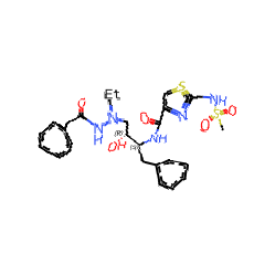 CCN(C[C@@H](O)[C@H](Cc1ccccc1)NC(=O)c1csc(NS(C)(=O)=O)n1)NC(=O)c1ccccc1